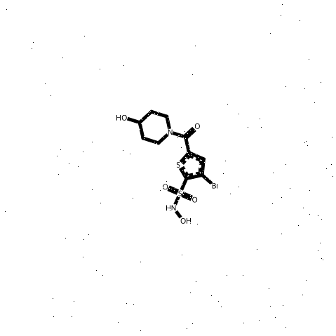 O=C(c1cc(Br)c(S(=O)(=O)NO)s1)N1CCC(O)CC1